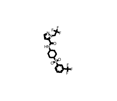 O=C(NC1CCC(S(=O)(=O)c2cccc(C(F)(F)F)c2)CC1)c1ccnn1CC(F)(F)F